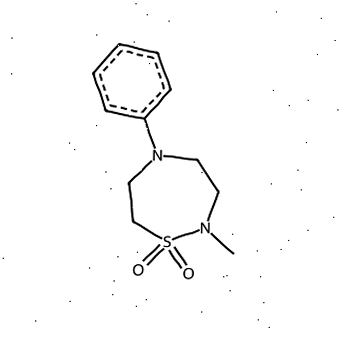 CN1CCN(c2ccccc2)CCS1(=O)=O